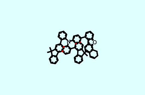 CC1(C)c2ccccc2-c2ccc(-c3ccccc3N(c3ccc(-c4cccc5oc6c7c(ccc6c45)C=CCC7)cc3)c3ccccc3-c3cccc4c3-c3ccccc3C4(C)C)cc21